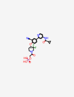 N#Cc1cc(-c2cc(NC(=O)C3CC3)ccn2)ccc1O[C@H]1CCN(C(=O)COP(=O)(O)O)CC1(F)F